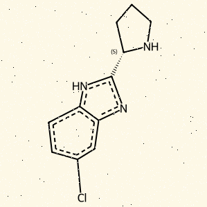 Clc1ccc2[nH]c([C@@H]3CCCN3)nc2c1